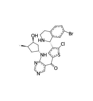 [CH2][C@@H]1C[C@@H](Nc2ncncc2C(=O)c2cc([C@@H]3NCCc4ccc(Br)cc43)c(Cl)s2)C[C@@H]1O